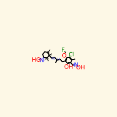 CC(/C=C/[C@@]1(C)[C@H](C)CC/C(=N\O)[C@@H]1C)=C\Cc1c(O)c(/C=N/O)c(C)c(Cl)c1OCF